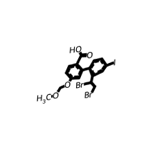 COCOc1ccc(C(=O)O)c(-c2ccc(I)cc2C(Br)CBr)c1